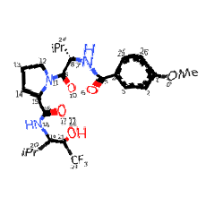 COc1ccc(C(=O)N[C@H](C(=O)N2CCCC2C(=O)NC(C(C)C)C(O)C(F)(F)F)C(C)C)cc1